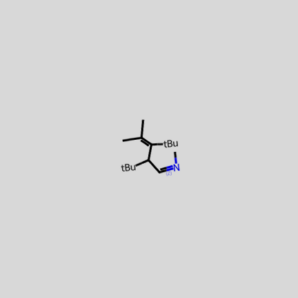 C/N=C\C(C(=C(C)C)C(C)(C)C)C(C)(C)C